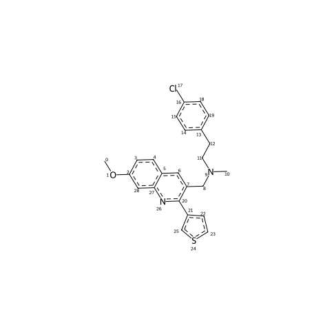 COc1ccc2cc(CN(C)CCc3ccc(Cl)cc3)c(-c3ccsc3)nc2c1